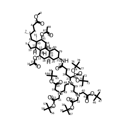 COC(=O)CC[C@@H](C)[C@H]1CC[C@H]2[C@@H]3[C@H](OC(C)=O)C[C@@H]4C[C@H](NC(=O)CCC(N(CCN(CC(=O)OC(C)(C)C)CC(=O)OC(C)(C)C)CCN(CC(=O)OC(C)(C)C)CC(=O)OC(C)(C)C)P(=O)(OC(C)(C)C)OC(C)(C)C)CC[C@]4(C)[C@H]3C[C@H](OC(C)=O)[C@]12C